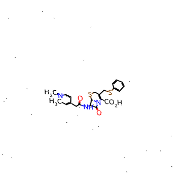 C=N/C=C\C(=C/C)CC(=O)N[C@@H]1C(=O)N2C(C(=O)O)=C(CSc3ccccc3)CSC12